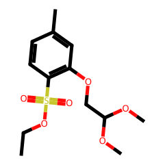 CCOS(=O)(=O)c1ccc(C)cc1OCC(OC)OC